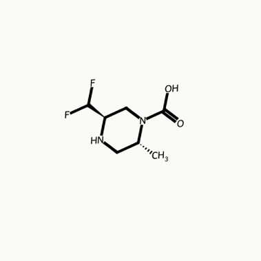 C[C@@H]1CN[C@@H](C(F)F)CN1C(=O)O